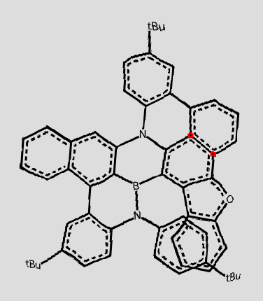 CC(C)(C)c1ccc(N2B3c4c(cc5ccccc5c4-c4cc(C(C)(C)C)ccc42)N(c2ccc(C(C)(C)C)cc2-c2ccccc2)c2ccc4oc5ccccc5c4c23)cc1